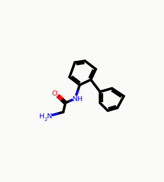 NCC(=O)Nc1ccccc1-c1ccccc1